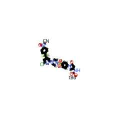 CC(C)(C)OC(=O)N[C@@H]1CC(=O)N(c2ccc(S(=O)(=O)N3CCN(c4cc(C(F)(F)C5CCC([N+]([O-])=CC#N)CC5)cc(Cl)n4)CC3)cc2)C1